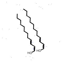 CCCCCCCC/C=C/C=C\O.CCCCCCCCC/C=C/C=C\O